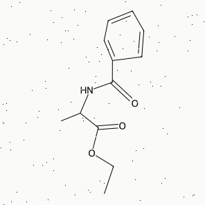 CCOC(=O)C(C)NC(=O)c1ccccc1